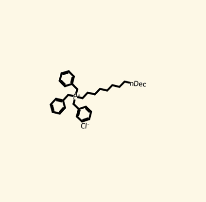 CCCCCCCCCCCCCCCCCC[P+](Cc1ccccc1)(Cc1ccccc1)Cc1ccccc1.[Cl-]